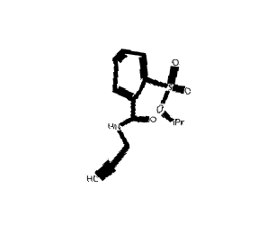 C#CCNC(=O)c1ccccc1S(=O)(=O)OC(C)C